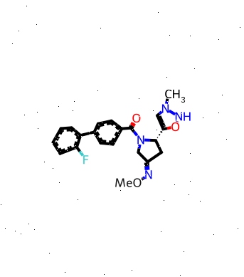 CON=C1C[C@@H](C2=CN(C)NO2)N(C(=O)c2ccc(-c3ccccc3F)cc2)C1